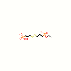 COP(=O)(O)CCCSSCCCP(=O)(O)O